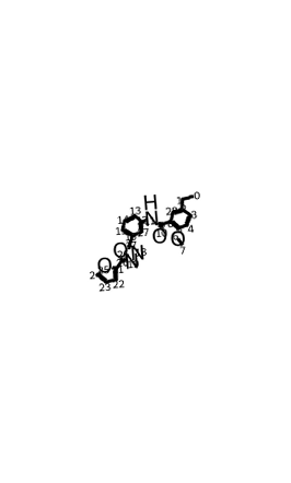 CCc1ccc(OC)c(C(=O)Nc2cccc(-c3nnc(-c4ccco4)o3)c2)c1